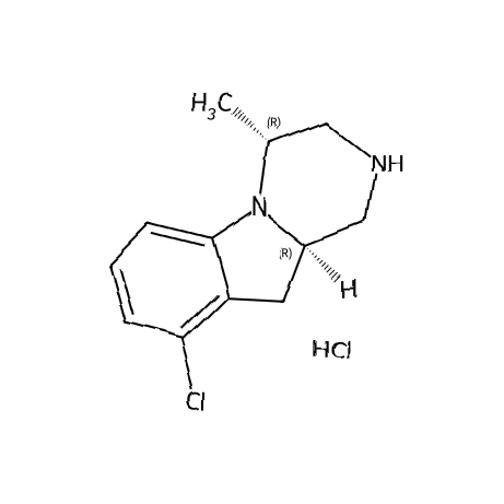 C[C@@H]1CNC[C@H]2Cc3c(Cl)cccc3N21.Cl